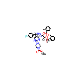 CC(C)(C)OC(=O)N1CCN(c2ncc(C(C)(N)c3ccc(F)cc3)cn2)CC1.Cc1ccccc1C(=O)OC(C(=O)O)C(OC(=O)c1ccccc1C)C(=O)O